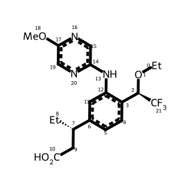 CCO[C@H](c1ccc([C@@H](CC)CC(=O)O)cc1Nc1cnc(OC)cn1)C(F)(F)F